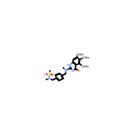 COc1cc2[nH]c(N(C)Cc3ccc(CN(C)S(C)(=O)=O)cc3)nc(=O)c2c(OC)c1OC